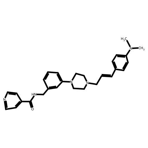 CN(C)c1ccc(C=CCN2CCN(c3cccc(CNC(=O)c4ccncc4)c3)CC2)cc1